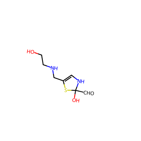 O=CC1(O)NC=C(CNCCO)S1